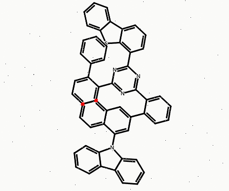 c1ccc(-c2ccccc2-c2nc(-c3ccccc3-c3cc(-n4c5ccccc5c5ccccc54)c4ccccc4c3)nc(-c3cccc4c3sc3ccccc34)n2)cc1